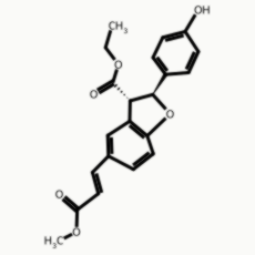 CCOC(=O)[C@H]1c2cc(/C=C/C(=O)OC)ccc2O[C@@H]1c1ccc(O)cc1